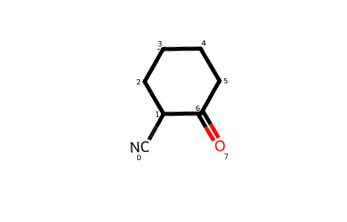 N#CC1C[CH]CCC1=O